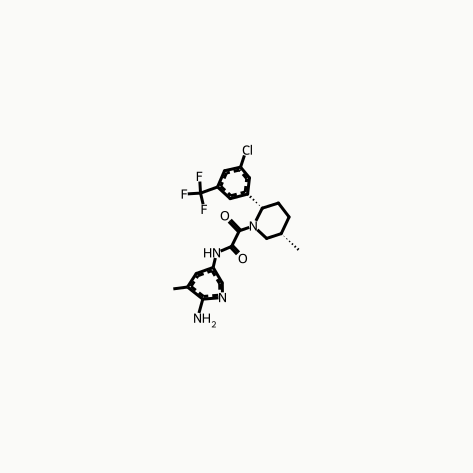 Cc1cc(NC(=O)C(=O)N2C[C@@H](C)CC[C@H]2c2cc(Cl)cc(C(F)(F)F)c2)cnc1N